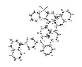 CC1(C)c2ccccc2-c2c(-c3ccc(N(c4ccc(-c5cccc6ccccc56)cc4)c4ccccc4-c4ccc(-c5ccc6ccccc6c5)cc4)cc3)cccc21